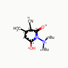 CCCCN(CCCC)n1c(O)cc(C)c(C#N)c1=O